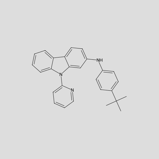 CC(C)(C)c1ccc(Nc2ccc3c4ccccc4n(-c4ccccn4)c3c2)cc1